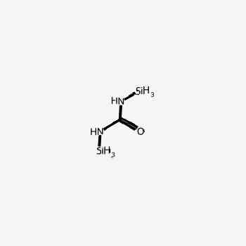 O=C(N[SiH3])N[SiH3]